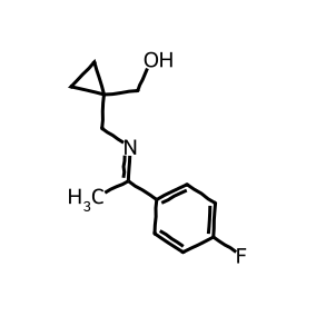 C/C(=N\CC1(CO)CC1)c1ccc(F)cc1